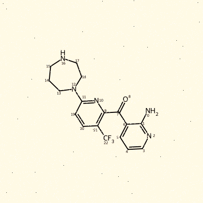 Nc1ncccc1C(=O)c1nc(N2CCCNCC2)ccc1C(F)(F)F